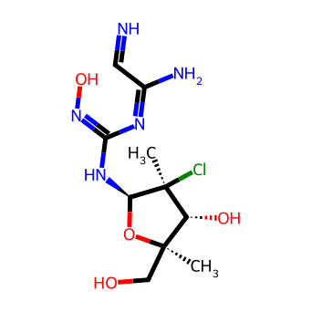 C[C@@]1(Cl)[C@H](NC(=N/O)/N=C(/N)C=N)O[C@](C)(CO)[C@H]1O